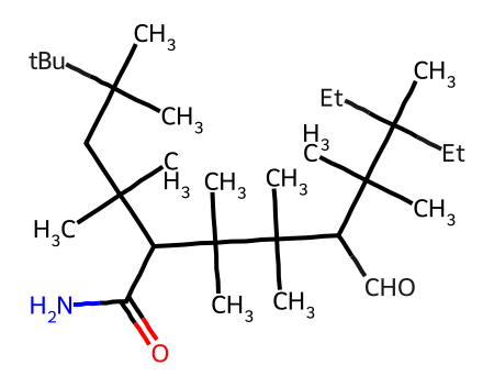 CCC(C)(CC)C(C)(C)C(C=O)C(C)(C)C(C)(C)C(C(N)=O)C(C)(C)CC(C)(C)C(C)(C)C